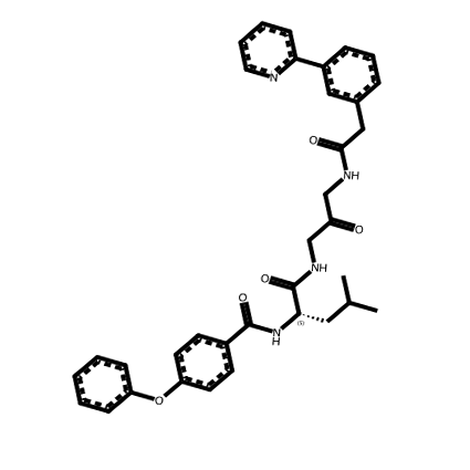 CC(C)C[C@H](NC(=O)c1ccc(Oc2ccccc2)cc1)C(=O)NCC(=O)CNC(=O)Cc1cccc(-c2ccccn2)c1